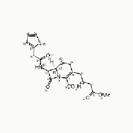 COC(=O)CSCC1=C(C(=O)O)N2C(=O)C(NC(=O)Cc3cccs3)[C@H]2SC1